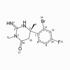 CN1C(=N)N[C@](C)(c2ccc(F)cc2Br)CC1=O